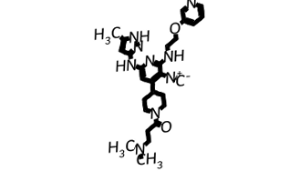 [C-]#[N+]c1c(C2CCN(C(=O)CCN(C)C)CC2)cc(Nc2cc(C)[nH]n2)nc1NCCOc1cccnc1